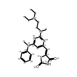 CCN(CC)CCN(C)c1nc(/C=C2\SC(=O)NC2=O)cc(N(C)c2ccccc2)n1